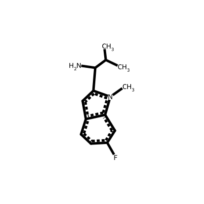 CC(C)C(N)c1cc2ccc(F)cc2n1C